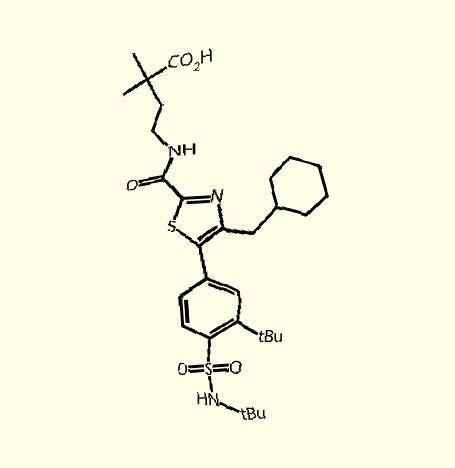 CC(C)(C)NS(=O)(=O)c1ccc(-c2sc(C(=O)NCCC(C)(C)C(=O)O)nc2CC2CCCCC2)cc1C(C)(C)C